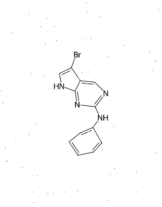 Brc1c[nH]c2nc(Nc3ccccc3)ncc12